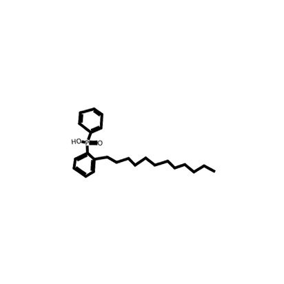 CCCCCCCCCCCCc1ccccc1P(=O)(O)c1ccccc1